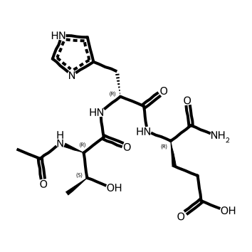 CC(=O)N[C@@H](C(=O)N[C@H](Cc1c[nH]cn1)C(=O)N[C@H](CCC(=O)O)C(N)=O)[C@H](C)O